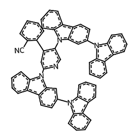 N#Cc1ccccc1-c1cc(-n2c3ccccc3c3ccc(-n4c5ccccc5c5ccccc54)cc32)ncc1-n1c2ccccc2c2ccc(-n3c4ccccc4c4ccccc43)cc21